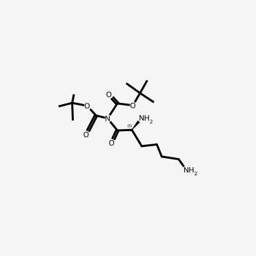 CC(C)(C)OC(=O)N(C(=O)OC(C)(C)C)C(=O)[C@@H](N)CCCCN